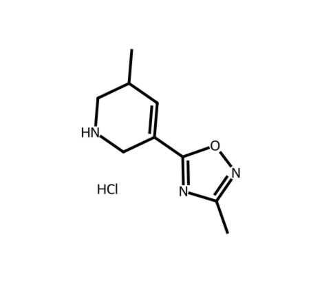 Cc1noc(C2=CC(C)CNC2)n1.Cl